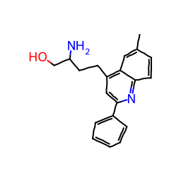 Cc1ccc2nc(-c3ccccc3)cc(CCC(N)CO)c2c1